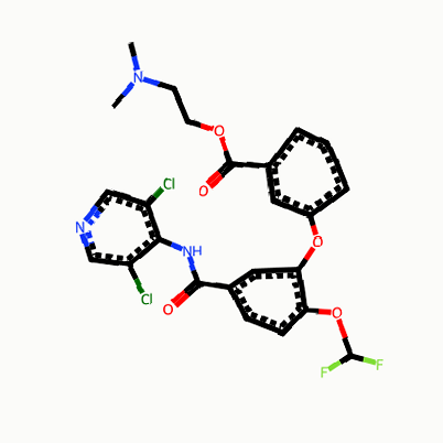 CN(C)CCOC(=O)c1cccc(Oc2cc(C(=O)Nc3c(Cl)cncc3Cl)ccc2OC(F)F)c1